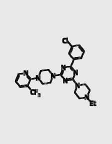 CCN1CCN(c2nc(-c3cccc(Cl)c3)nc(N3CCN(c4ncccc4C(F)(F)F)CC3)n2)CC1